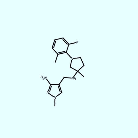 Cc1cccc(F)c1N1CCC(C)(NCc2cn(C)nc2N)C1